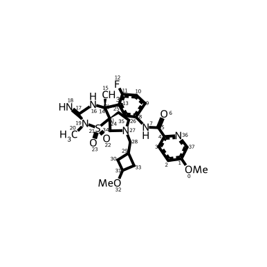 COc1ccc(C(=O)Nc2ccc(F)c([C@@]3(C)NC(=N)N(C)S(=O)(=O)[C@]34CCN(CC3CC(OC)C3)C4)c2)nc1